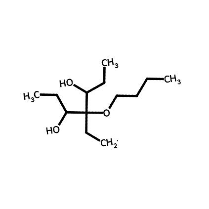 [CH2]CC(OCCCC)(C(O)CC)C(O)CC